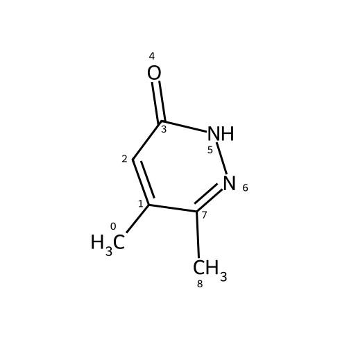 Cc1cc(=O)[nH]nc1C